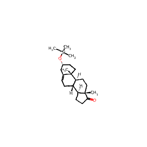 C[C@]12CC[C@@H](O[Si](C)(C)C)CC1=CC[C@@H]1[C@@H]2CC[C@]2(C)C(=O)CC[C@@H]12